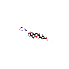 COC(=O)c1ccc(C2=CS[C@]3(C)[C@H]4CC[C@@H]5[C@H]6[C@H](C(C)C)CC[C@]6(C(=O)NCCCN6CCS(=O)(=O)CC6)CC[C@@]5(C)[C@]4(C)CC[C@H]3C2(C)C)cc1